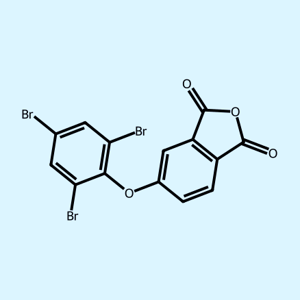 O=C1OC(=O)c2cc(Oc3c(Br)cc(Br)cc3Br)ccc21